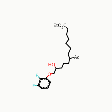 CCOC(=O)CCCCCCC(CCCC(O)COc1cccc(F)c1F)C(C)=O